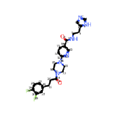 O=C(NCCc1cnc[nH]1)c1ccc(N2CCN(C(=O)CCc3ccc(F)c(F)c3)CC2)nc1